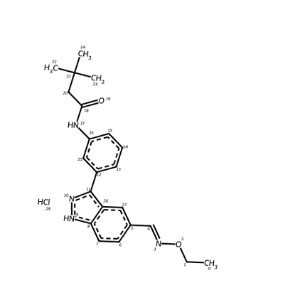 CCON=Cc1ccc2[nH]nc(-c3cccc(NC(=O)CC(C)(C)C)c3)c2c1.Cl